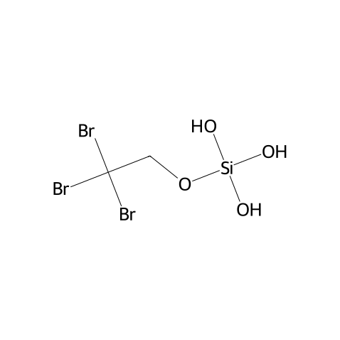 O[Si](O)(O)OCC(Br)(Br)Br